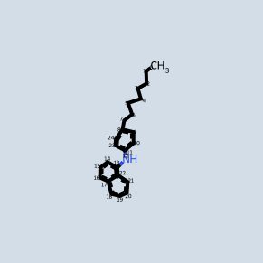 CCCCCCCCc1ccc(Nc2cccc3ccccc23)cc1